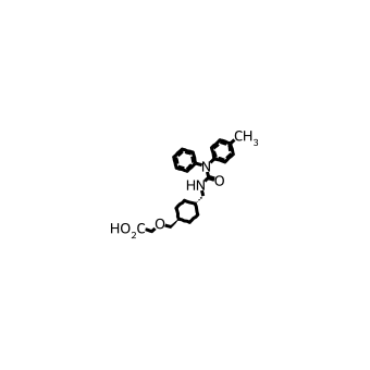 Cc1ccc(N(C(=O)NC[C@H]2CC[C@H](COCC(=O)O)CC2)c2ccccc2)cc1